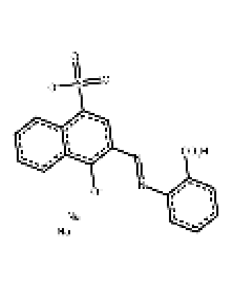 O=C(O)c1ccccc1N=Nc1cc(S(=O)(=O)[O-])c2ccccc2c1[O-].[Na+].[Na+]